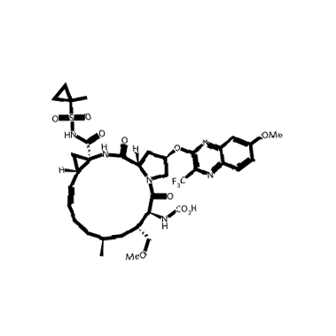 COC[C@@H]1C[C@@H](C)CC/C=C\[C@@H]2C[C@@]2(C(=O)NS(=O)(=O)C2(C)CC2)NC(=O)[C@@H]2C[C@@H](Oc3nc4cc(OC)ccc4nc3C(F)(F)F)CN2C(=O)[C@H]1NC(=O)O